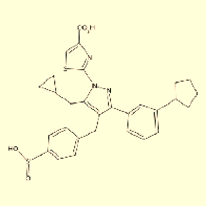 O=C(O)c1csc(-n2nc(-c3cccc(C4CCCC4)c3)c(Cc3ccc(S(=O)O)cc3)c2CC2CC2)n1